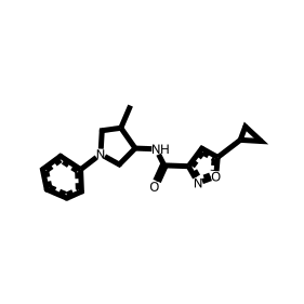 CC1CN(c2ccccc2)CC1NC(=O)c1cc(C2CC2)on1